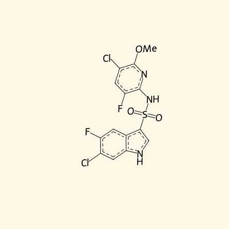 COc1nc(NS(=O)(=O)c2c[nH]c3cc(Cl)c(F)cc23)c(F)cc1Cl